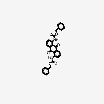 O=C(Nc1cccc2c1C(=O)c1cccc(NC(=O)OCc3ccccc3)c1C2=O)OCc1ccccc1